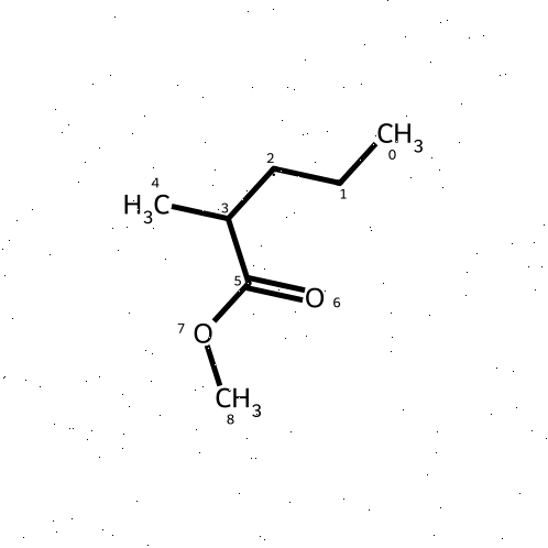 CC[CH]C(C)C(=O)OC